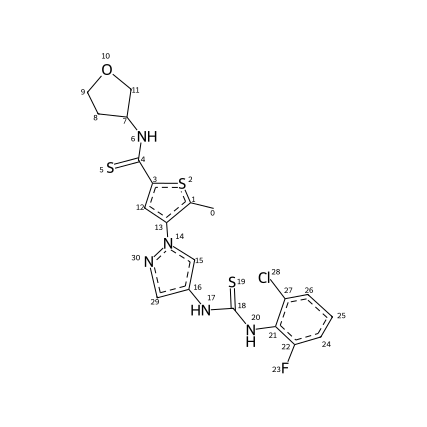 Cc1sc(C(=S)NC2CCOC2)cc1-n1cc(NC(=S)Nc2c(F)cccc2Cl)cn1